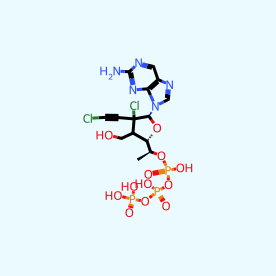 C[C@H](OP(=O)(O)OP(=O)(O)OP(=O)(O)O)[C@H]1O[C@@H](n2cnc3cnc(N)nc32)C(Cl)(C#CCl)C1CO